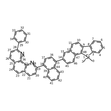 C[Si]1(C)c2ccccc2-c2ccc3cc(-c4ccc(-c5ccc6ccc7ccc(-c8ccccc8)nc7c6n5)c5ccccc45)ccc3c21